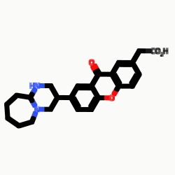 O=C(O)Cc1ccc2oc3ccc(C4CNC5CCCCCN5C4)cc3c(=O)c2c1